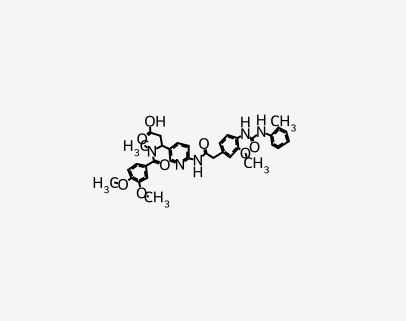 COc1cc(CC(=O)Nc2ccc(C(CC(=O)O)N(C)C(=O)c3ccc(OC)c(OC)c3)cn2)ccc1NC(=O)Nc1ccccc1C